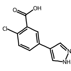 O=C(O)c1cc(-c2cn[nH]c2)ccc1Cl